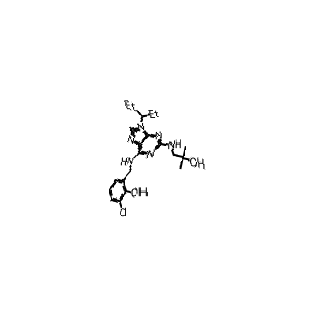 CCC(CC)n1cnc2c(NCc3cccc(Cl)c3O)nc(NCC(C)(C)O)nc21